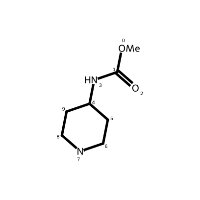 COC(=O)NC1CC[N]CC1